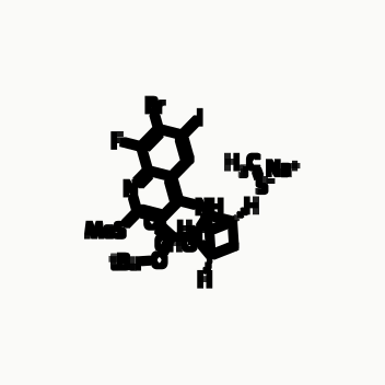 CSc1nc2c(F)c(Br)c(I)cc2c(N[C@H]2[C@@H]3C[C@H]2N(C(=O)OC(C)(C)C)C3)c1C=O.C[S-].[Na+]